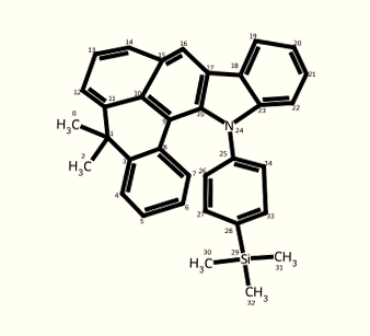 CC1(C)c2ccccc2-c2c3c1cccc3cc1c3ccccc3n(-c3ccc([Si](C)(C)C)cc3)c21